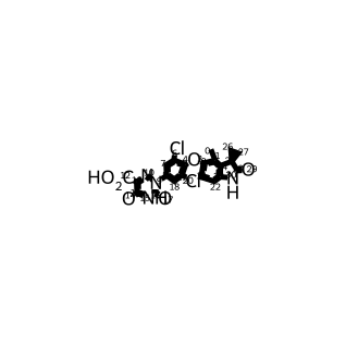 Cc1c(Oc2c(Cl)cc(-n3nc(C(=O)O)c(=O)[nH]c3=O)cc2Cl)ccc2c1C1(CC1)C(=O)N2